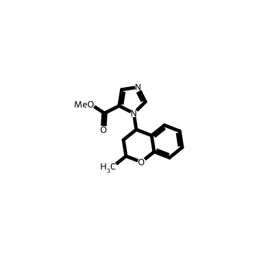 COC(=O)c1cncn1C1CC(C)Oc2ccccc21